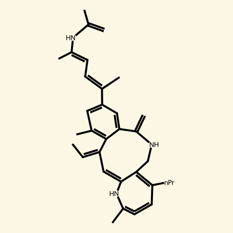 C=C(C)N/C(C)=C/C=C(\C)c1cc(C)c2c(c1)C(=C)NCC1=C(CCC)C=C=C(C)N/C1=C/C2=C/C